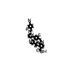 N#Cc1ccc(COc2cccc(-c3ccc(Cc4nc5ccc(C(=O)O)cc5n4CC4(c5ccncc5)CC4)c(F)c3)n2)c(F)c1